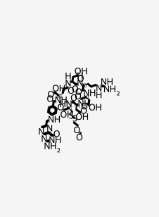 N=C(N)NCCC[C@H](NC(=O)C(CC(=O)O)NC(=O)CC[C@H](NC(=O)c1ccc(NCc2cnc3nc(N)[nH]c(=O)c3n2)cc1)C(=O)O)C(=O)N[C@@H](CC(=O)O)C(=O)N[C@@H](CC(=O)O)C(=O)N[C@@H](CSSCCOC=O)C(=O)O